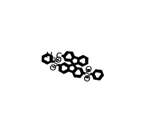 Cc1ccc2c(c1)C1(c3ccccc3-2)c2cc(S(=O)(=O)c3ccccc3)ccc2-c2ccc(S(=O)(=O)c3ccccc3)cc21